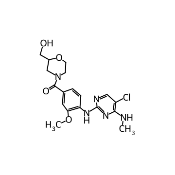 CNc1nc(Nc2ccc(C(=O)N3CCOC(CO)C3)cc2OC)ncc1Cl